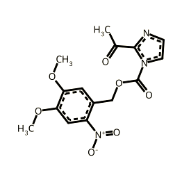 COc1cc(COC(=O)n2ccnc2C(C)=O)c([N+](=O)[O-])cc1OC